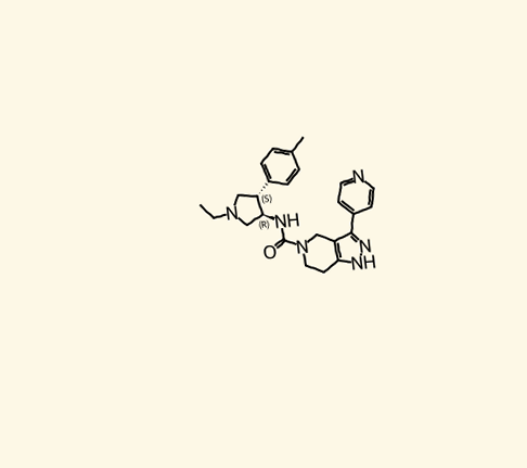 CCN1C[C@H](NC(=O)N2CCc3[nH]nc(-c4ccncc4)c3C2)[C@@H](c2ccc(C)cc2)C1